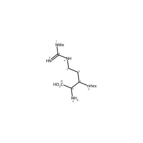 CCCCCCC(CCNC(=N)NC)C(N)C(=O)O